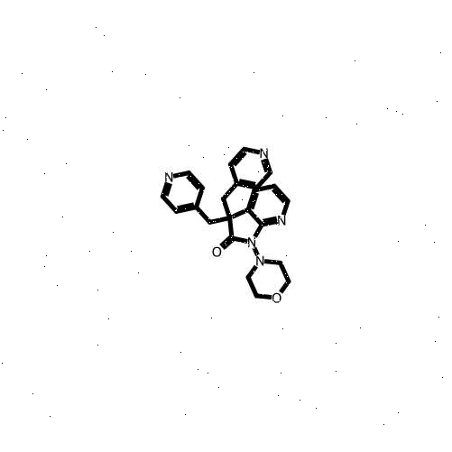 O=C1N(N2CCOCC2)c2ncccc2C1(Cc1ccncc1)Cc1ccncc1